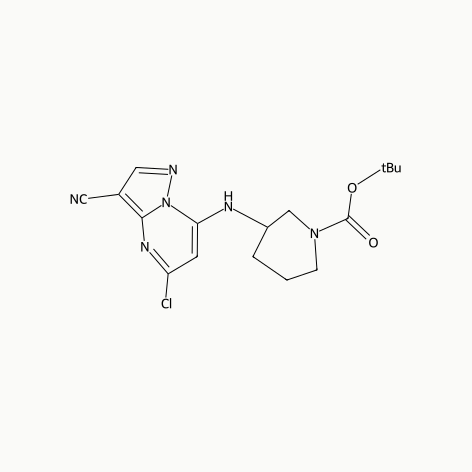 CC(C)(C)OC(=O)N1CCCC(Nc2cc(Cl)nc3c(C#N)cnn23)C1